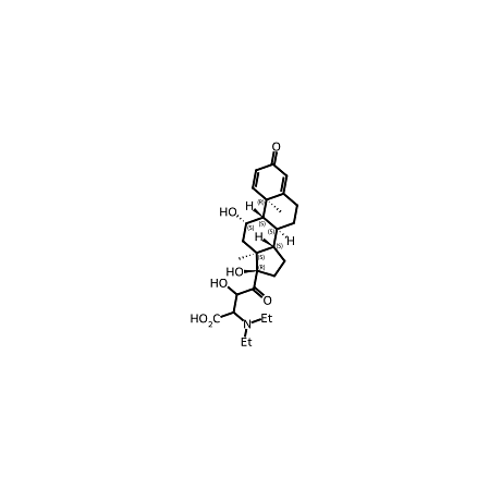 CCN(CC)C(C(=O)O)C(O)C(=O)[C@@]1(O)CC[C@H]2[C@@H]3CCC4=CC(=O)C=C[C@]4(C)[C@H]3[C@@H](O)C[C@@]21C